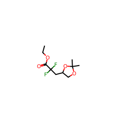 CCOC(=O)C(F)(F)CC1COC(C)(C)O1